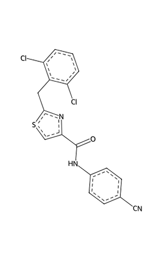 N#Cc1ccc(NC(=O)c2csc(Cc3c(Cl)cccc3Cl)n2)cc1